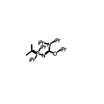 CC(C)=P(N=C(OC(C)C)N(C(C)C)C(C)C)(C(C)C)C(C)C